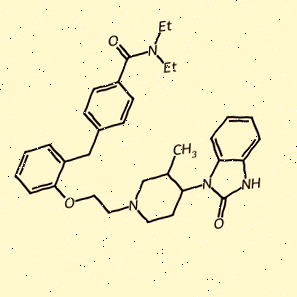 CCN(CC)C(=O)c1ccc(Cc2ccccc2OCCN2CCC(n3c(=O)[nH]c4ccccc43)C(C)C2)cc1